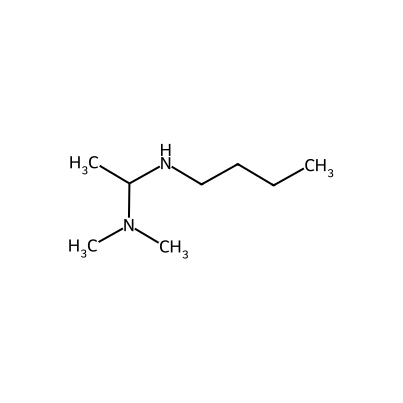 CCCCNC(C)N(C)C